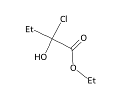 CCOC(=O)C(O)(Cl)CC